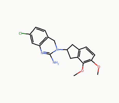 COc1ccc2c(c1OC)CC(N1Cc3ccc(Cl)cc3N=C1N)C2